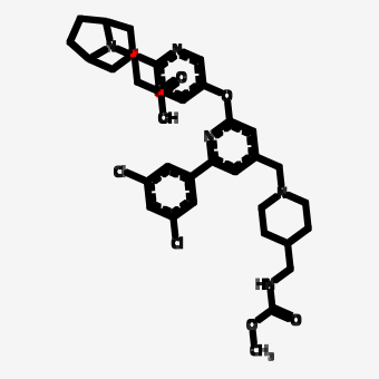 COC(=O)NCC1CCN(Cc2cc(Oc3cnc(N4CC5CCC(C4)N5CCC(=O)O)nc3)nc(-c3cc(Cl)cc(Cl)c3)c2)CC1